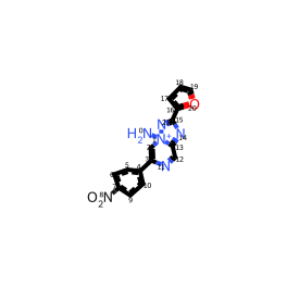 N[N+]12C=C(c3ccc([N+](=O)[O-])cc3)N=CC1=NC(c1ccco1)=N2